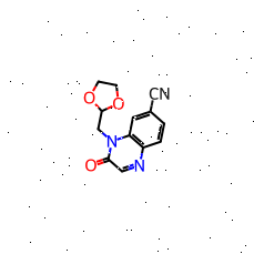 N#Cc1ccc2ncc(=O)n(CC3OCCO3)c2c1